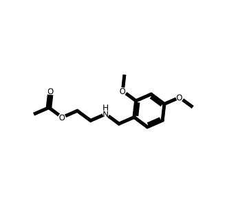 COc1ccc(CNCCOC(C)=O)c(OC)c1